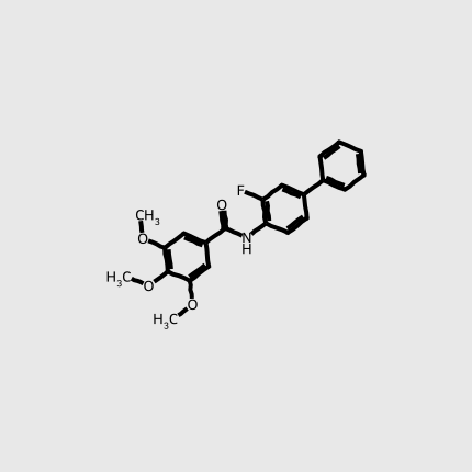 COc1cc(C(=O)Nc2ccc(-c3ccccc3)cc2F)cc(OC)c1OC